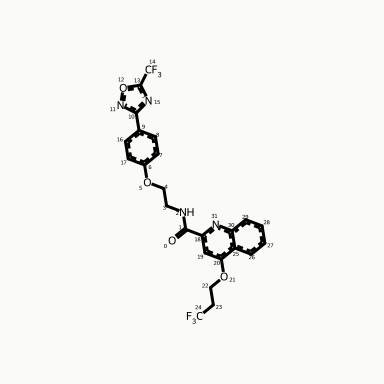 O=C(NCCOc1ccc(-c2noc(C(F)(F)F)n2)cc1)c1cc(OCCC(F)(F)F)c2ccccc2n1